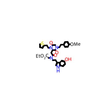 CCOC(=O)CN(CCc1c[nH]c2ccc(O)cc12)C(=O)CC1C(=O)N(CCc2ccc(OC)cc2)CC(=O)N1CCc1cccs1